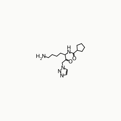 NCCCCC(NC(=O)C1CCCC1)C(=O)Cn1ccnn1